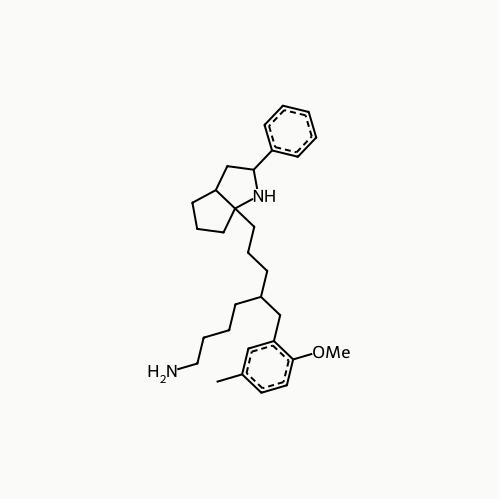 COc1ccc(C)cc1CC(CCCCN)CCCC12CCCC1CC(c1ccccc1)N2